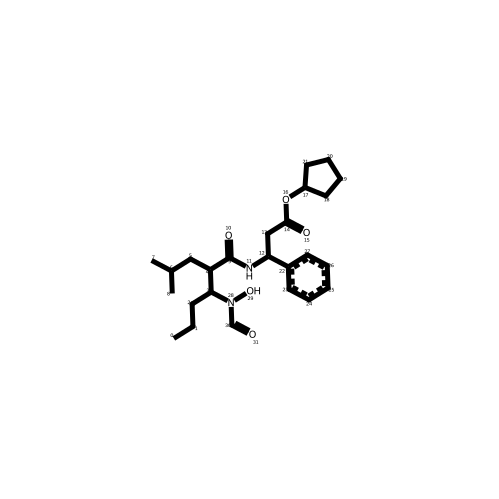 CCCC(C(CC(C)C)C(=O)NC(CC(=O)OC1CCCC1)c1ccccc1)N(O)C=O